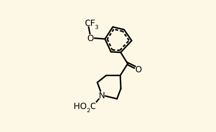 O=C(c1cccc(OC(F)(F)F)c1)C1CCN(C(=O)O)CC1